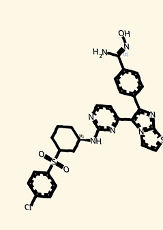 N/C(=N\O)c1ccc(-c2nc3sccn3c2-c2ccnc(N[C@@H]3CCCC(S(=O)(=O)c4ccc(Cl)cc4)C3)n2)cc1